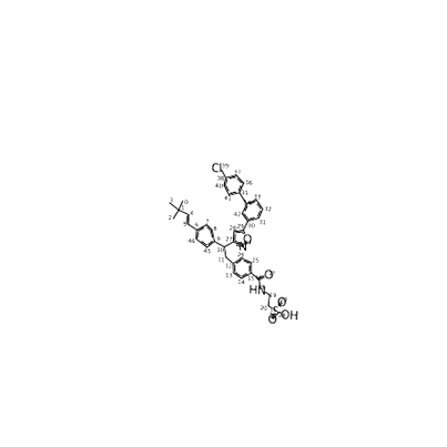 CC(C)(C)/C=C/c1ccc(C(Cc2ccc(C(=O)NCCS(=O)(=O)O)cc2)c2cc(-c3cccc(-c4ccc(Cl)cc4)c3)on2)cc1